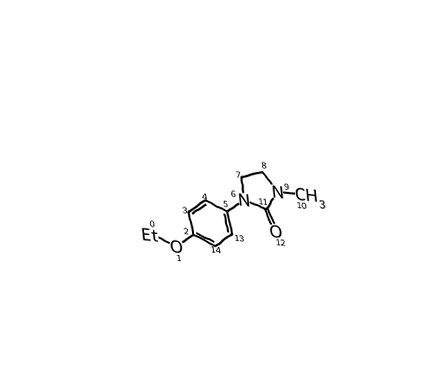 CCOc1ccc(N2CCN(C)C2=O)cc1